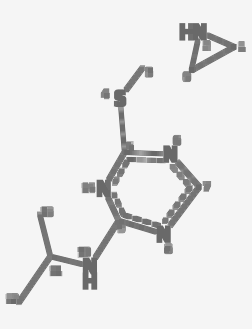 C1CN1.CSc1ncnc(NC(C)C)n1